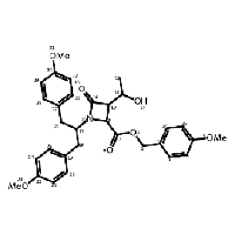 COc1ccc(COC(=O)C2C(C(C)O)C(=O)N2C(Cc2ccc(OC)cc2)Cc2ccc(OC)cc2)cc1